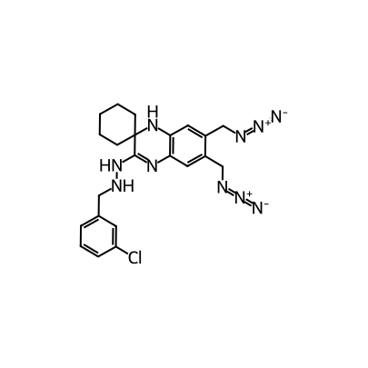 [N-]=[N+]=NCc1cc2c(cc1CN=[N+]=[N-])NC1(CCCCC1)C(NNCc1cccc(Cl)c1)=N2